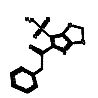 NS(=O)(=O)c1c(C(=O)Cc2ccccc2)sc2c1OCO2